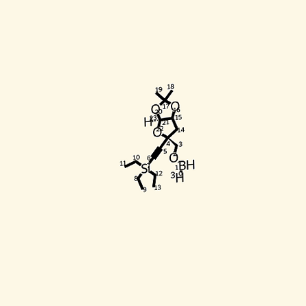 [3H]BOC[C@]1(C#C[Si](CC)(CC)CC)CC2OC(C)(C)O[C@@H]2O1